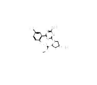 COC(=O)[C@@H]1C[C@@H](O)CN1c1nc(N)nc(-c2cc(Cl)ccc2Cl)n1